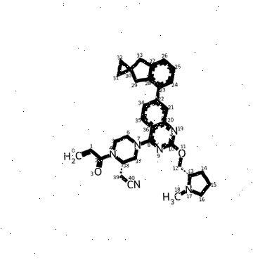 C=CC(=O)N1CCN(c2nc(OC[C@@H]3CCCN3C)nc3cc(-c4cccc5c4CC4(CC4)C5)ccc23)C[C@@H]1CC#N